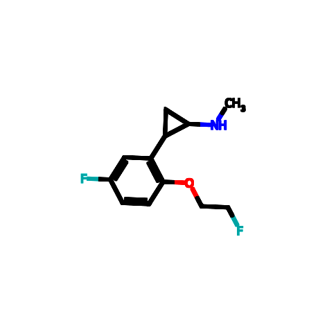 CNC1CC1c1cc(F)ccc1OCCF